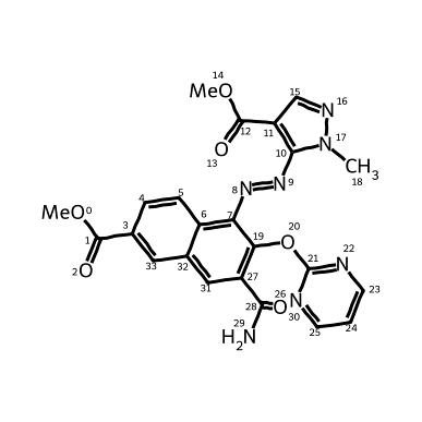 COC(=O)c1ccc2c(/N=N/c3c(C(=O)OC)cnn3C)c(Oc3ncccn3)c(C(N)=O)cc2c1